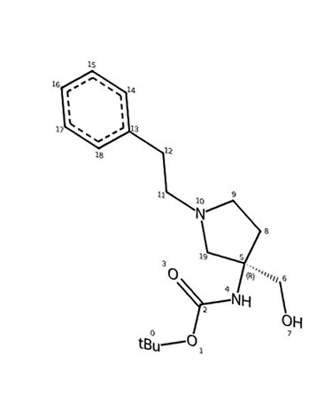 CC(C)(C)OC(=O)N[C@]1(CO)CCN(CCc2ccccc2)C1